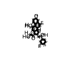 C[C@]12C[C@H](O)[C@@]3(F)[C@@H](C[C@H](F)C4=CC(=O)C=C[C@@]43C)[C@@H]1C[C@@H](CN(O)c1cccc(F)c1)[C@@H]2C(=O)CO